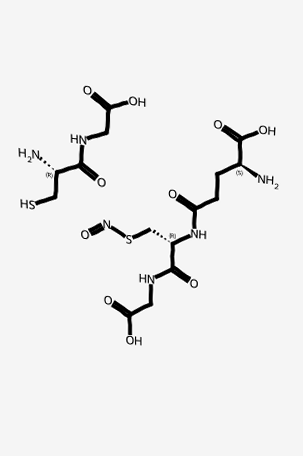 N[C@@H](CCC(=O)N[C@@H](CSN=O)C(=O)NCC(=O)O)C(=O)O.N[C@@H](CS)C(=O)NCC(=O)O